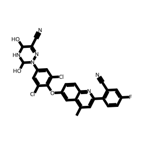 Cc1cc(-c2ccc(F)cc2C#N)nc2ccc(Oc3c(Cl)cc(N4N=C(C#N)C(O)NC4O)cc3Cl)cc12